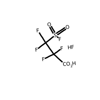 F.O=C(O)C(F)(F)C(F)(F)S(=O)(=O)F